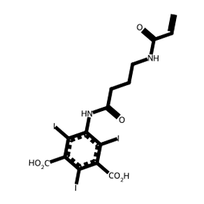 C=CC(=O)NCCCC(=O)Nc1c(I)c(C(=O)O)c(I)c(C(=O)O)c1I